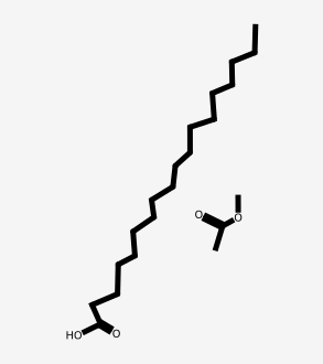 CCCCCCCCCCCCCCCCCC(=O)O.COC(C)=O